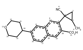 CC1CC1(C#N)c1nc2cc(C3CCOCC3)ccc2cc1C(=O)O